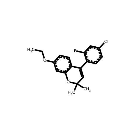 CCOc1ccc2c(c1)OC(C)(C)C=C2c1ccc(Cl)cc1F